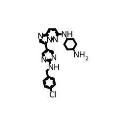 N[C@H]1CC[C@H](Nc2ccc3ncc(-c4cnc(NCc5ccc(Cl)cc5)nc4)n3n2)CC1